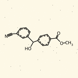 COC(=O)c1ccc(C(O)c2cccc(C#N)c2)cc1